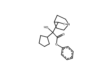 O=C(Oc1ccccc1)C(O)(C1CCCC1)C1CN2CCC1CC2